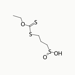 CCOC(=S)SCCCS(=O)O